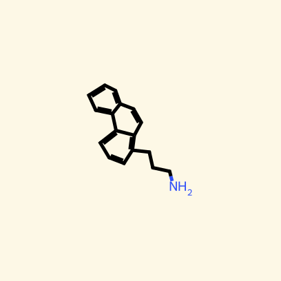 NCCCc1cccc2c1ccc1ccccc12